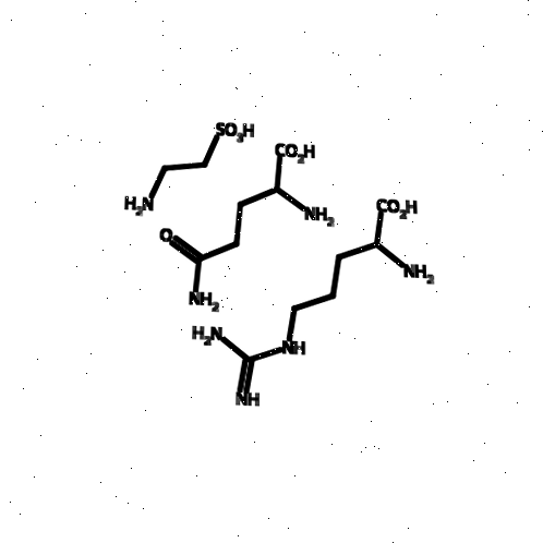 N=C(N)NCCCC(N)C(=O)O.NC(=O)CCC(N)C(=O)O.NCCS(=O)(=O)O